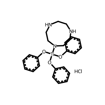 Cl.c1ccc([O][Ti]([O]c2ccccc2)([O]c2ccccc2)[N]2CCNCCNCC2)cc1